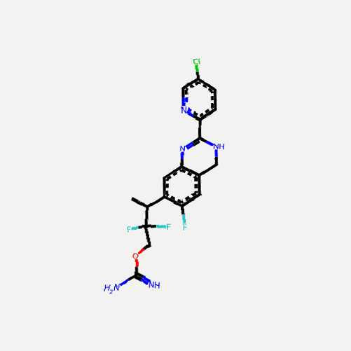 CC(c1cc2c(cc1F)CNC(c1ccc(Cl)cn1)=N2)C(F)(F)COC(=N)N